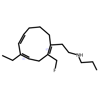 CCCNCC/C1=C(\CF)C/C=C(/CC)C=CCCC1